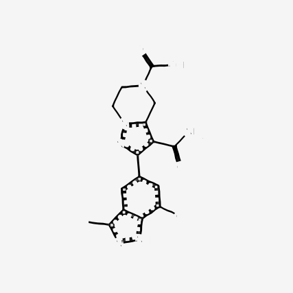 Cc1n[nH]c2c(Cl)cc(-c3nn4c(c3C(N)=O)CN(C(=O)O)CC4)cc12